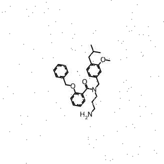 COc1cc(CN(CCCN)C(=O)c2ccccc2OCc2ccccc2)ccc1CC(C)C